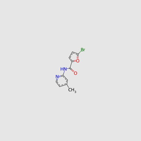 Cc1ccnc(NC(=O)c2ccc(Br)o2)c1